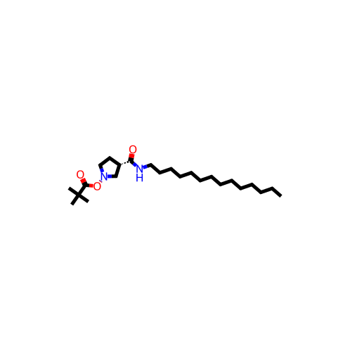 CCCCCCCCCCCCCCNC(=O)[C@H]1CCN(OC(=O)C(C)(C)C)C1